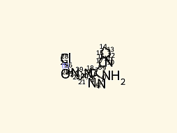 Nc1ncnc2c1c(-c1cnc3ccccc3c1)cn2[C@@H]1CCN(C(=O)/C=C/Cl)C1